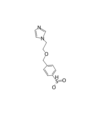 O=[SH](=O)c1ccc(COCCn2ccnc2)cc1